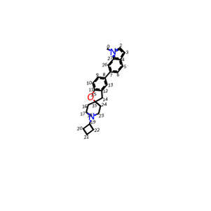 Cn1ccc2ccc(-c3ccc4c(c3)CC3(CCN(C5CCC5)CC3)O4)cc21